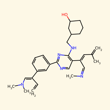 C=C/C(=C\N(C)C)c1cccc(-c2ncc(C(/C=N\C)=C/C(=C)C)c(NCC3CCCC(O)C3)n2)c1